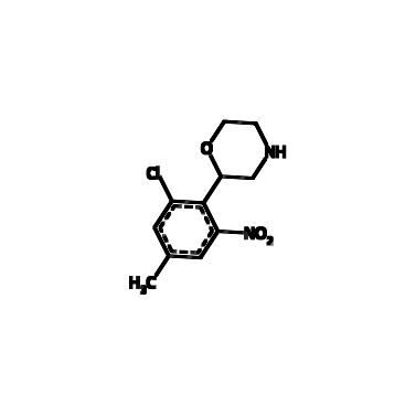 Cc1cc(Cl)c(C2CNCCO2)c([N+](=O)[O-])c1